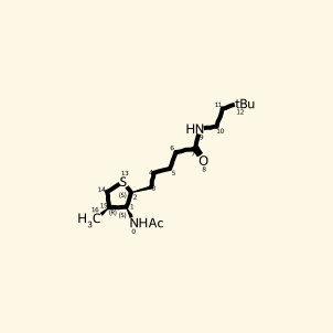 CC(=O)N[C@@H]1[C@H](CCCCC(=O)NCCC(C)(C)C)SC[C@@H]1C